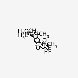 CC(C)c1cc(-n2c(=O)cc(C(F)(F)F)n(C)c2=O)c(F)cc1C#C[Si](C)(C)C